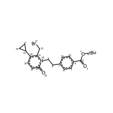 CC(C)(C)OC(=O)c1ccc(CCn2c(CBr)c(C3CC3)ccc2=O)cc1